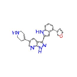 C1=C(c2cnc3[nH]nc(-c4cc5c(-c6ccoc6)cccc5[nH]4)c3c2)CCNC1